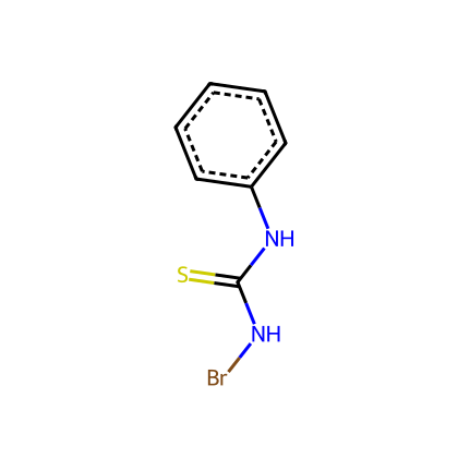 S=C(NBr)Nc1ccccc1